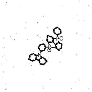 O=P1(c2ccccc2)c2cccc3c2-c2c1cccc2P3(=O)c1cccc(-n2c3ccccc3c3ccccc32)c1